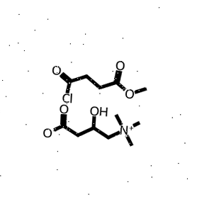 COC(=O)CCC(=O)Cl.C[N+](C)(C)CC(O)CC(=O)[O-]